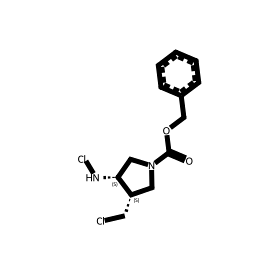 O=C(OCc1ccccc1)N1C[C@H](CCl)[C@H](NCl)C1